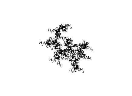 COCCO[C@H]1C(O)[C@@H](COP(=O)(S)OC2[C@@H](COP(=O)(S)OC3[C@@H](COP(=O)(O)OC4[C@@H](COP(=O)(O)OC5[C@@H](COP(=O)(S)OC6C[C@H](n7cnc8c(N)ncnc87)O[C@@H]6C)O[C@@H](n6cc(C)c(N)nc6=O)[C@H]5OCCOC)O[C@@H](n5cc(C)c(N)nc5=O)[C@H]4OCCOC)O[C@@H](n4cnc5c(N)ncnc54)[C@H]3OCCOC)O[C@@H](n3cc(C)c(=O)[nH]c3=O)[C@H]2OCCOC)O[C@H]1n1cc(C)c(N)nc1=O